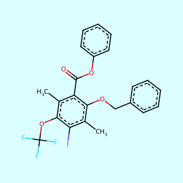 Cc1c(I)c(OC(F)(F)F)c(C)c(C(=O)Oc2ccccc2)c1OCc1ccccc1